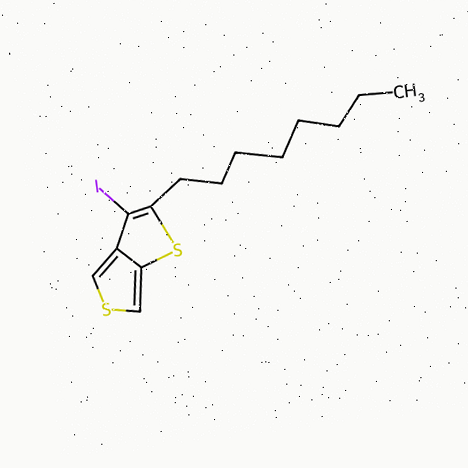 CCCCCCCCc1sc2cscc2c1I